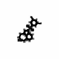 Cc1cc(C)cc(S(=O)(=O)n2cc3c4c(cccc42)CNCC3)c1